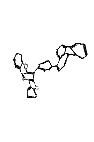 c1ccc2c(c1)-c1cccc3c(-c4ccc(-c5c6oc7ccccc7c6nc6c5sc5ccccc56)cc4)ccc-2c13